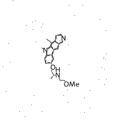 COCCN[C@@H](C)COc1ccc2c(c1)c1cc3cnccc3c(C)c1n2C